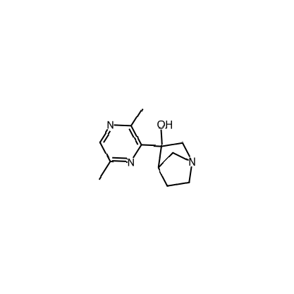 Cc1cnc(C)c(C2(O)CN3CCC2C3)n1